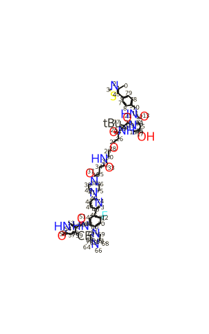 Cc1ncsc1-c1ccc(CNC(=O)[C@@H]2C[C@@H](O)CN2C(=O)[C@@H](NC(=O)CCOCCNC(=O)CCC(=O)N2CCN(c3ccc(-c4cc(NC(=O)c5c[nH]c(=O)cc5C(F)(F)F)c(N5C[C@@H](C)N(C)[C@@H](C)C5)cc4F)cn3)CC2)C(C)(C)C)cc1